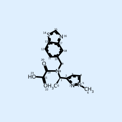 C[C@H](c1ccn(C)n1)N(Cc1ccc2scnc2c1)C(=O)C(=O)O